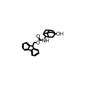 O=C(NC1C2CC3CC1CC(O)(C3)C2)OCC1c2ccccc2-c2ccccc21